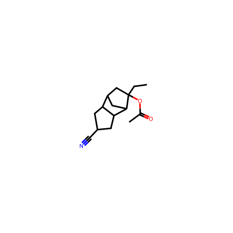 CCC1(OC(C)=O)CC2CC1C1CC(C#N)CC21